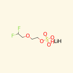 O=S(=O)(O)OCCOCC(F)F.[LiH]